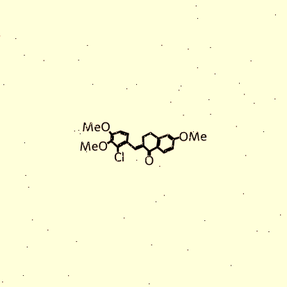 COc1ccc2c(c1)CCC(=Cc1ccc(OC)c(OC)c1Cl)C2=O